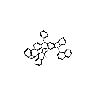 c1ccc(N(c2ccc3c(c2)C2(c4ccccc4Oc4ccccc42)c2cccc4cccc-3c24)c2ccc3c(c2)c2ccccc2n3-c2cccc3ccccc23)cc1